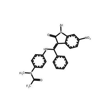 CC(=O)N1C(=O)/C(=C(\Nc2ccc(N(C)C(=O)C(F)(F)F)cc2)c2ccccc2)c2ccc([N+](=O)[O-])cc21